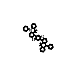 CC1(C)c2ccccc2C(c2ccccc2)c2ccc3oc4cc5c(cc4c3c21)oc1ccc2c(c15)C(C)(C)c1ccccc1N2c1ccccc1